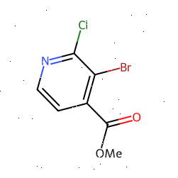 COC(=O)c1ccnc(Cl)c1Br